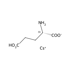 N[C@@H](CCC(=O)O)C(=O)[O-].[Cs+]